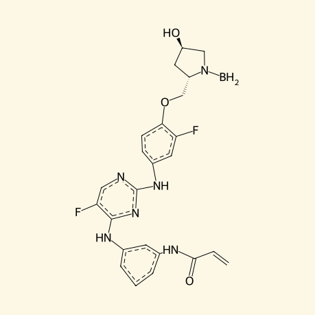 BN1C[C@H](O)C[C@H]1COc1ccc(Nc2ncc(F)c(Nc3cccc(NC(=O)C=C)c3)n2)cc1F